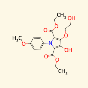 CCOC(=O)c1c(O)c(OCCO)c(C(=O)OCC)n1-c1ccc(OC)cc1